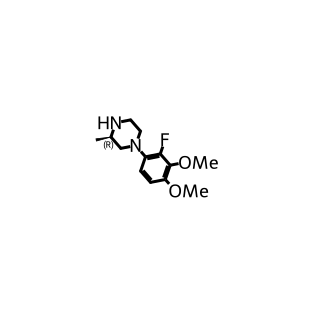 COc1ccc(N2CCN[C@H](C)C2)c(F)c1OC